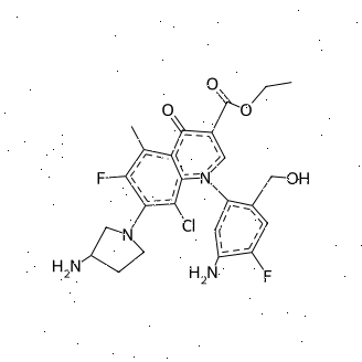 CCOC(=O)c1cn(-c2cc(N)c(F)cc2CO)c2c(Cl)c(N3CCC(N)C3)c(F)c(C)c2c1=O